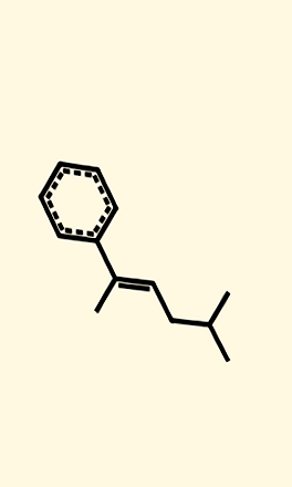 C[C](C)CC=C(C)c1ccccc1